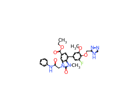 CCOC(=O)c1cc(-c2cc(F)c(OCc3nnc[nH]3)c(OC)c2)c2c(c1)n(CC(=O)Nc1ccccc1)c(=O)n2C